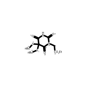 CCCCSC1(SCCCC)C(=O)NC(=O)N(CC(=O)OCC)C1=O